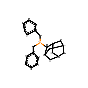 c1ccc(CP(Cc2ccccc2)C2C3CC4CC(C3)CC2C4)cc1